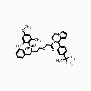 COc1cc(C)c(S(=O)(=O)N(CCOCC(=O)N2CCn3cccc3C2c2ccc(C(C)(C)C)cc2)Cc2ccccc2)c(C)c1